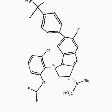 CC(C)(N)c1ccc(-c2cc3c(cc2F)nc2n3[C@@H](c3c(Cl)cccc3OC(F)F)C[C@H]2N(C(=O)O)C(C)(C)C)cc1